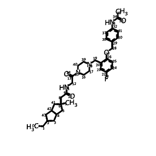 CCC1CC2CC(C)(CC(=O)NCC(=O)N3CCN(Cc4cc(F)ccc4OCc4ccc(NC(C)=O)cc4)CC3)CC2C1